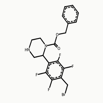 O=C(OCc1ccccc1)N1CCNCC1c1c(F)c(F)c(CBr)c(F)c1F